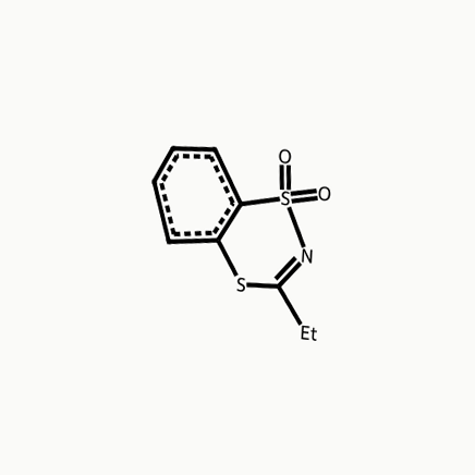 CCC1=NS(=O)(=O)c2ccccc2S1